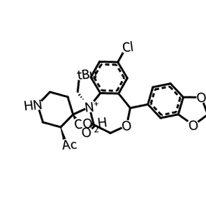 CC(=O)[C@H]1CNCC[C@]1(C(=O)O)[N@+]1(CC(C)(C)C)C(=O)COC(c2ccc3c(c2)OCO3)c2cc(Cl)ccc21